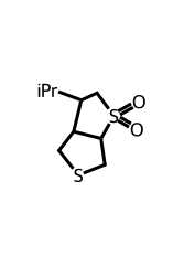 CC(C)C1CS(=O)(=O)C2CSCC12